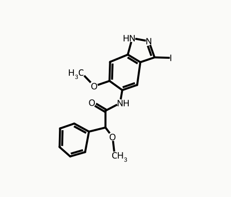 COc1cc2[nH]nc(I)c2cc1NC(=O)C(OC)c1ccccc1